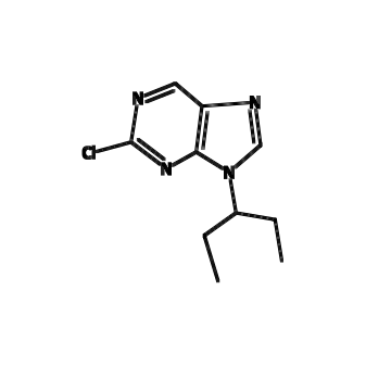 CCC(CC)n1cnc2cnc(Cl)nc21